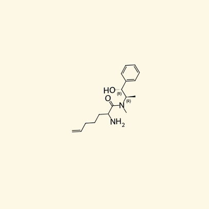 C=CCCCC(N)C(=O)N(C)[C@H](C)[C@H](O)c1ccccc1